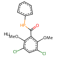 COc1c(Cl)cc(Cl)c(OC)c1C(=O)Pc1ccccc1.[LiH]